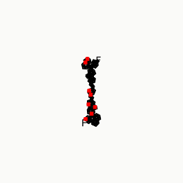 CC1(C)c2cc(/C=C/c3ccc(/C=C/c4ccc5c(c4)C(C)(C)c4cc(N(c6ccc(F)cc6)c6cccc7ccccc67)ccc4-5)cc3)ccc2-c2ccc(N(c3ccc(F)cc3)c3cccc4ccccc34)cc21